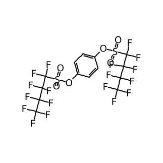 O=S(=O)(Oc1ccc(OS(=O)(=O)C(F)(F)C(F)(F)C(F)(F)C(F)(F)F)cc1)C(F)(F)C(F)(F)C(F)(F)C(F)(F)F